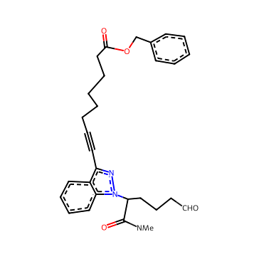 CNC(=O)C(CCCC=O)n1nc(C#CCCCCCC(=O)OCc2ccccc2)c2ccccc21